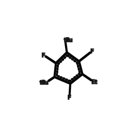 CCc1c(F)c(C(C)(C)C)c(F)c(C(C)(C)C)c1F